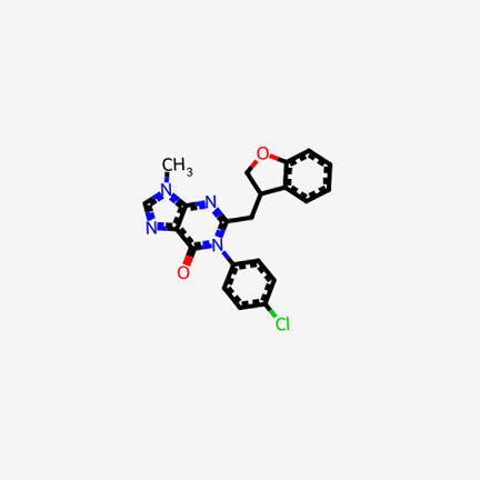 Cn1cnc2c(=O)n(-c3ccc(Cl)cc3)c(CC3COc4ccccc43)nc21